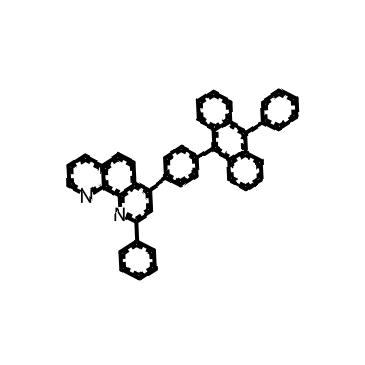 c1ccc(-c2cc(-c3ccc(-c4c5ccccc5c(-c5ccccc5)c5ccccc45)cc3)c3ccc4cccnc4c3n2)cc1